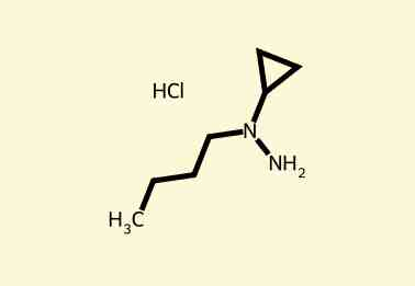 CCCCN(N)C1CC1.Cl